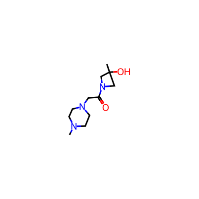 CN1CCN(CC(=O)N2CC(C)(O)C2)CC1